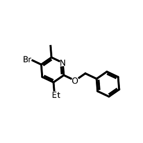 CCc1cc(Br)c(C)nc1OCc1ccccc1